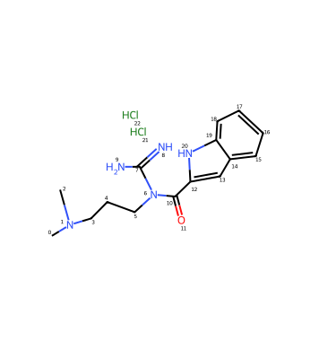 CN(C)CCCN(C(=N)N)C(=O)c1cc2ccccc2[nH]1.Cl.Cl